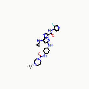 CN1CCCN(C(=O)N[C@H]2CC[C@H](Nc3cc(NC4CC4)c4ncc(C(=O)Nc5ccncc5F)n4n3)CC2)CC1